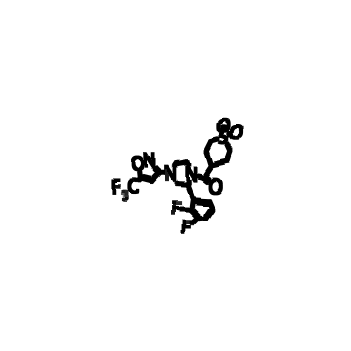 O=C(C1CCS(=O)(=O)CC1)N1CCN(c2cc(C(F)(F)F)on2)CC1c1cccc(F)c1F